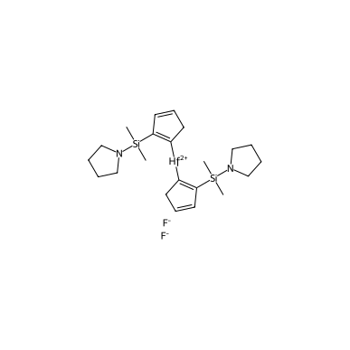 C[Si](C)(C1=[C]([Hf+2][C]2=C([Si](C)(C)N3CCCC3)C=CC2)CC=C1)N1CCCC1.[F-].[F-]